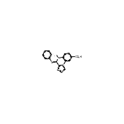 O=C(O)c1ccc2c(c1)-n1cnnc1C(Sc1ccccc1)N2C(F)(F)F